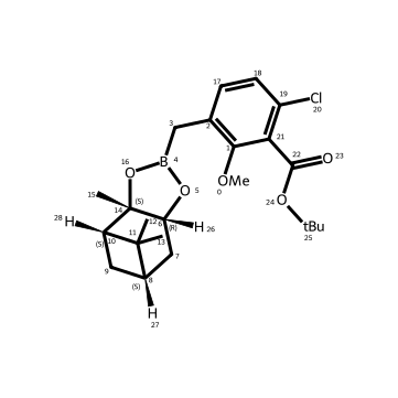 COc1c(CB2O[C@@H]3C[C@@H]4C[C@@H](C4(C)C)[C@]3(C)O2)ccc(Cl)c1C(=O)OC(C)(C)C